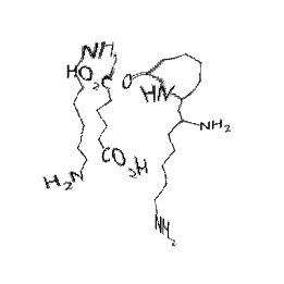 NCCCCCC(N)C1CCCCC(=O)N1.NCCCCCCN.O=C(O)CCCCC(=O)O